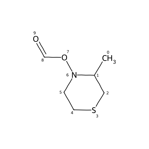 CC1CSCCN1OC=O